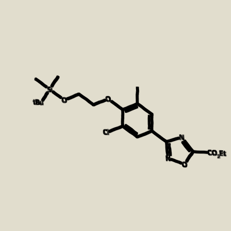 CCOC(=O)c1nc(-c2cc(C)c(OCCO[Si](C)(C)C(C)(C)C)c(Cl)c2)no1